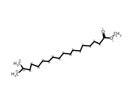 COC(=O)CCCCCCCCCCCCCCCC(C)C